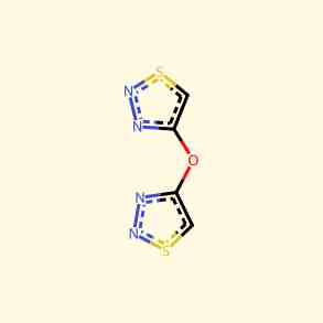 c1snnc1Oc1csnn1